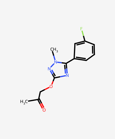 CC(=O)COc1nc(-c2cccc(F)c2)n(C)n1